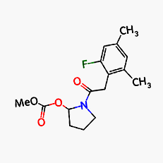 COC(=O)OC1CCCN1C(=O)Cc1c(C)cc(C)cc1F